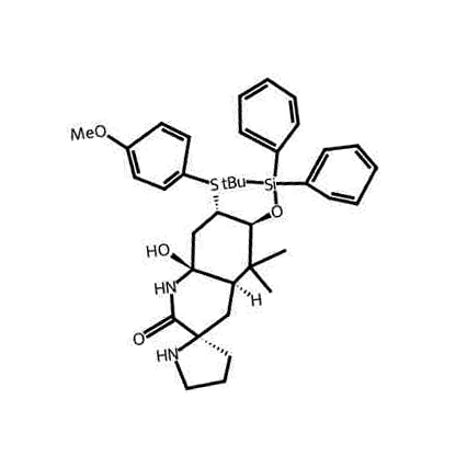 COc1ccc(S[C@H]2C[C@@]3(O)NC(=O)[C@@]4(CCCN4)C[C@@H]3C(C)(C)[C@@H]2O[Si](c2ccccc2)(c2ccccc2)C(C)(C)C)cc1